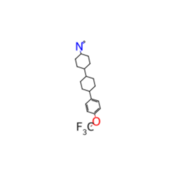 C=NC1CCC(C2CCC(c3ccc(OC(F)(F)F)cc3)CC2)CC1